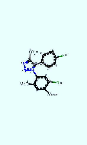 COc1cc(OC)c(-n2nnc(C(=O)O)c2-c2ccc(F)cc2)cc1Cl